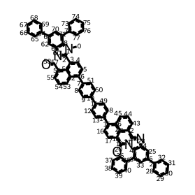 Cn1c(-c2ccc(-c3ccc(-c4ccc(-c5ccc6c(=O)n7c(nc8cc(-c9ccccc9)cc(-c9ccccc9)c87)c7cccc5c67)cc4)cc3)c3cccc(C=O)c23)nc2cc(-c3ccccc3)cc(-c3ccccc3)c21